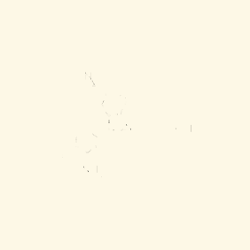 Cc1cc2c(cc1C#N)c(-c1ccc(Br)c(N)c1C)cn2C1CCC(O)CC1